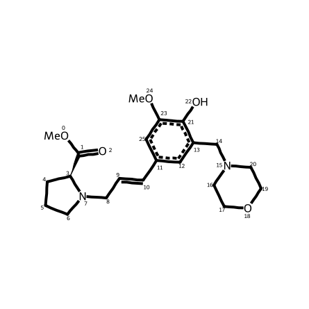 COC(=O)[C@@H]1CCCN1CC=Cc1cc(CN2CCOCC2)c(O)c(OC)c1